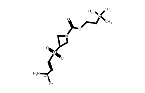 CC[C@@H](N)/C=C/S(=O)(=O)C1CN(C(=O)OCC[Si](C)(C)C)C1